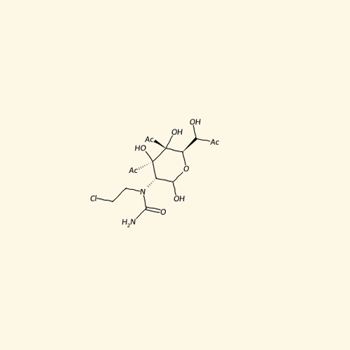 CC(=O)C(O)[C@H]1OC(O)[C@H](N(CCCl)C(N)=O)[C@](O)(C(C)=O)[C@@]1(O)C(C)=O